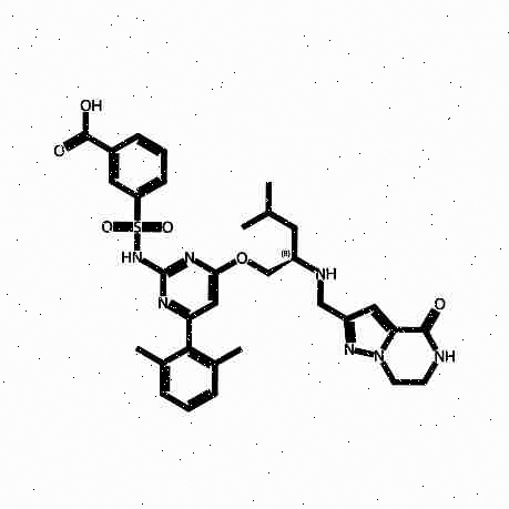 Cc1cccc(C)c1-c1cc(OC[C@@H](CC(C)C)NCc2cc3n(n2)CCNC3=O)nc(NS(=O)(=O)c2cccc(C(=O)O)c2)n1